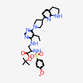 CCc1c(NCC(NS(=O)(=O)c2ccc(OC)cc2)C(=O)OC(C)(C)C)ncnc1N1CCC(c2ccc3c(n2)NCCC3)CC1